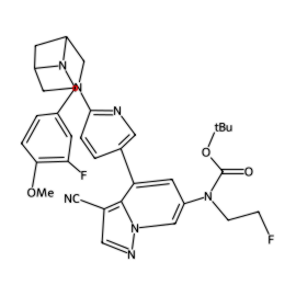 COc1ccc(CN2C3CC2CN(c2ccc(-c4cc(N(CCF)C(=O)OC(C)(C)C)cn5ncc(C#N)c45)cn2)C3)cc1F